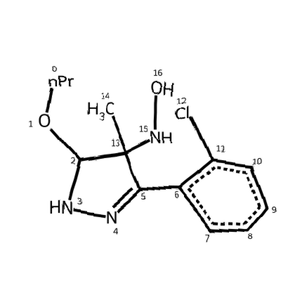 CCCOC1NN=C(c2ccccc2Cl)C1(C)NO